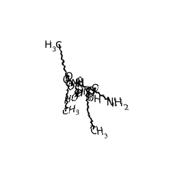 CCCCCCCCCCCCCC(=O)O[C@H](CCCCCCCCCCC)CC(=O)N[C@H](CSCC(=O)O)C(=O)NCCC[C@H](COC(=O)CCCCCCN)NC(=O)C[C@H](O)CCCCCCCCCCC